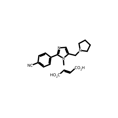 Cn1c(CN2CCCC2)cnc1-c1ccc(C#N)cc1.O=C(O)C=CC(=O)O